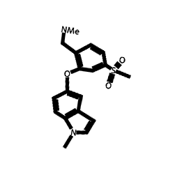 CNCc1ccc(S(C)(=O)=O)cc1Oc1ccc2c(ccn2C)c1